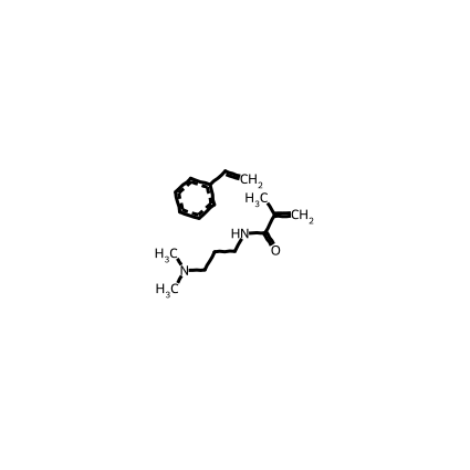 C=C(C)C(=O)NCCCN(C)C.C=Cc1ccccc1